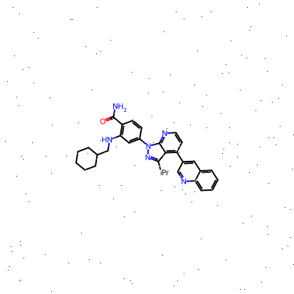 CC(C)c1nn(-c2ccc(C(N)=O)c(NCC3CCCCC3)c2)c2nccc(-c3cnc4ccccc4c3)c12